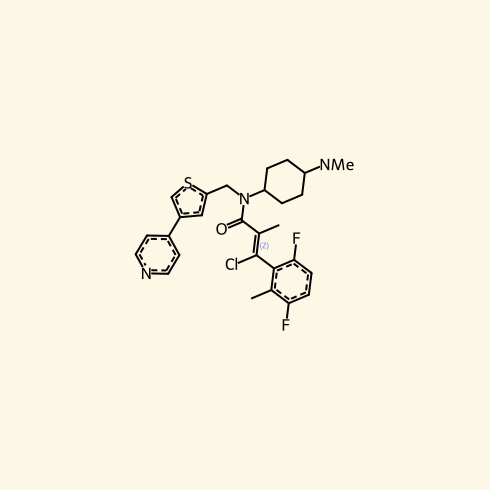 CNC1CCC(N(Cc2cc(-c3ccncc3)cs2)C(=O)/C(C)=C(\Cl)c2c(F)ccc(F)c2C)CC1